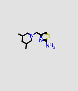 CC1CC(C)CN(Cc2csc(N)n2)C1